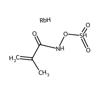 C=C(C)C(=O)NO[SH](=O)=O.[RbH]